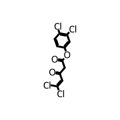 O=C(C=C(Cl)Cl)CC(=O)Oc1ccc(Cl)c(Cl)c1